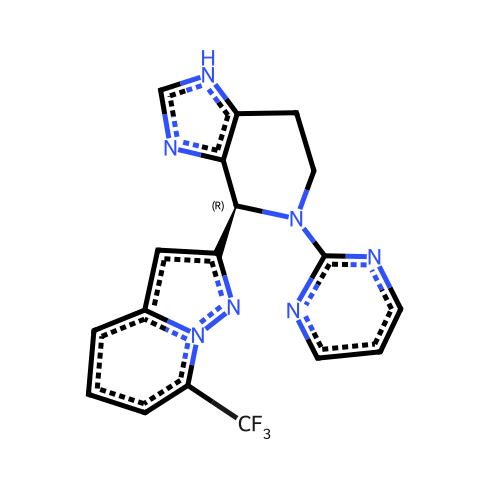 FC(F)(F)c1cccc2cc([C@H]3c4nc[nH]c4CCN3c3ncccn3)nn12